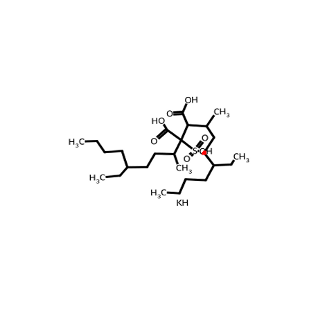 CCCCC(CC)CCC(C)C(C(=O)O)C(C(=O)O)(C(C)CCC(CC)CCCC)S(=O)(=O)O.[KH]